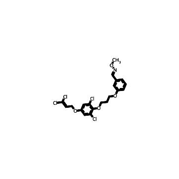 CO/N=C/c1cccc(OCCCOc2c(Cl)cc(OCC=C(Cl)Cl)cc2Cl)c1